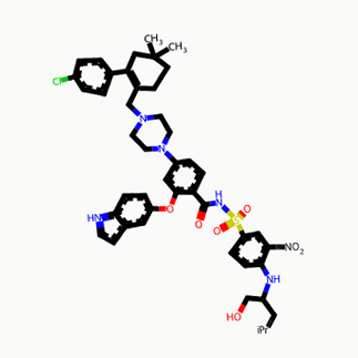 CC(C)CC(CO)Nc1ccc(S(=O)(=O)NC(=O)c2ccc(N3CCN(CC4=C(c5ccc(Cl)cc5)CC(C)(C)CC4)CC3)cc2Oc2ccc3[nH]ccc3c2)cc1[N+](=O)[O-]